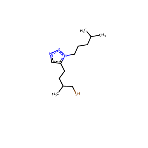 CC(C)CCCn1nncc1CCC(C)CS